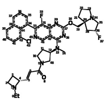 CCN1CC[C@@H]1/C=C/C(=O)N1CC[C@@H](N(C)c2nc(OC[C@@]34CCCN3C[C@H](F)C4)nc3c(F)c(-c4cccc5cccc(Cl)c45)ncc23)C1